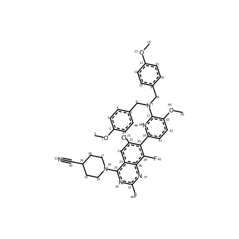 COc1ccc(CN(Cc2ccc(OC)cc2)c2nc(-c3c(Cl)cc4c(N5CCC(C#N)CC5)nc(F)nc4c3F)ccc2OC)cc1